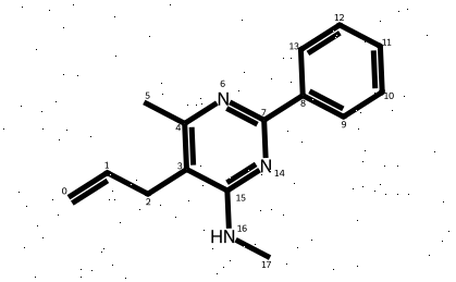 C=CCc1c(C)nc(-c2ccccc2)nc1NC